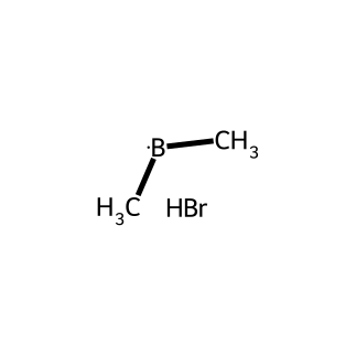 Br.C[B]C